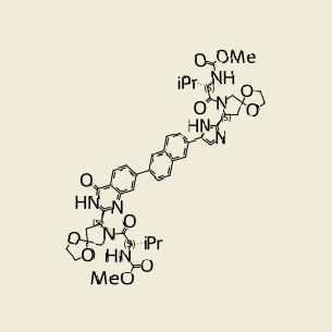 COC(=O)N[C@H](C(=O)N1CC2(C[C@H]1c1ncc(-c3ccc4cc(-c5ccc6c(=O)[nH]c([C@@H]7CC8(CN7C(=O)[C@@H](NC(=O)OC)C(C)C)OCCO8)nc6c5)ccc4c3)[nH]1)OCCO2)C(C)C